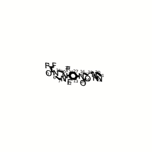 O=C(C(F)F)N1CC=NN(c2c(F)cc(N3C[C@H](Cn4ccnn4)OC3=O)cc2F)CC1